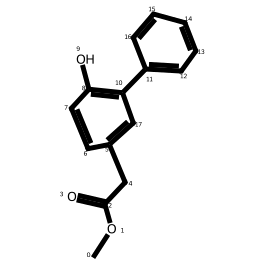 COC(=O)Cc1ccc(O)c(-c2ccccc2)c1